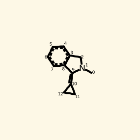 CN1Cc2ccccc2C1=C1CC1